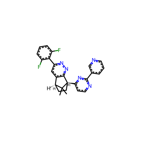 CC1(C)[C@H]2CC[C@@]1(c1ccnc(-c3cccnc3)n1)c1nnc(-c3c(F)cccc3F)cc12